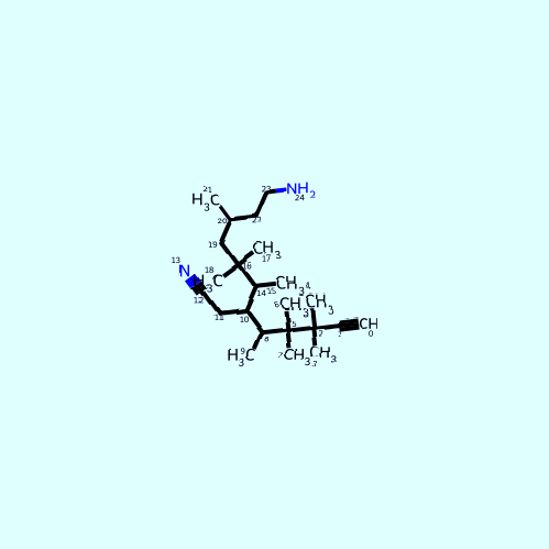 C#CC(C)(C)C(C)(C)C(C)C(CC#N)C(C)C(C)(C)CC(C)CCN